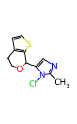 Cc1ncc(C2OCCc3ccsc32)n1Cl